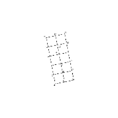 CC12C3C4CC5C(CC541)C1C4CC5CC6C3C12C546